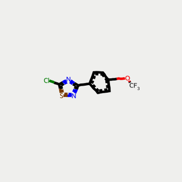 FC(F)(F)Oc1ccc(-c2nsc(Cl)n2)cc1